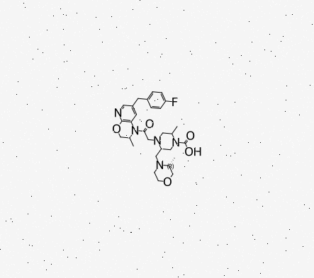 CC1CN(CC(=O)N2c3cc(Cc4ccc(F)cc4)cnc3OCC2C)C(CN2CCOC[C@H]2C)CN1C(=O)O